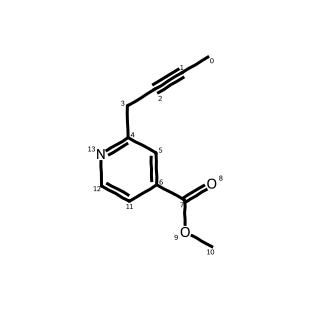 CC#CCc1cc(C(=O)OC)ccn1